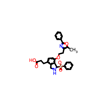 Cc1oc(-c2ccccc2)nc1CCOc1ccc(CCC(=O)O)c2c1C(S(=O)(=O)c1ccccc1)NC2